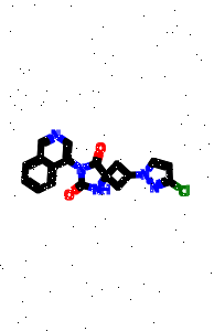 O=C1NC2(CC(n3ccc(Cl)n3)C2)C(=O)N1c1cncc2ccccc12